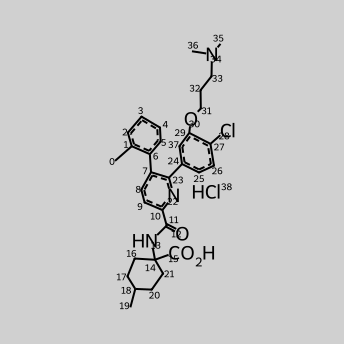 Cc1ccccc1-c1ccc(C(=O)NC2(C(=O)O)CCC(C)CC2)nc1-c1ccc(Cl)c(OCCCN(C)C)c1.Cl